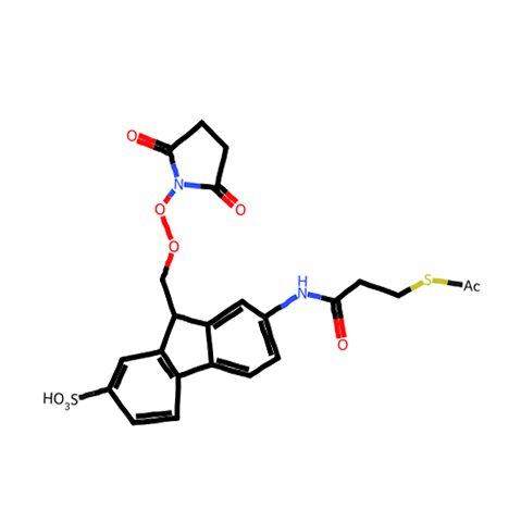 CC(=O)SCCC(=O)Nc1ccc2c(c1)C(COON1C(=O)CCC1=O)c1cc(S(=O)(=O)O)ccc1-2